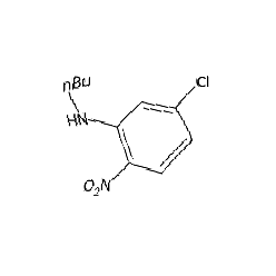 CCCCNc1cc(Cl)ccc1[N+](=O)[O-]